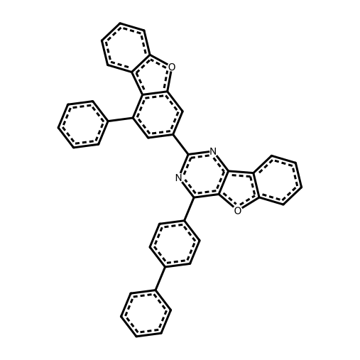 c1ccc(-c2ccc(-c3nc(-c4cc(-c5ccccc5)c5c(c4)oc4ccccc45)nc4c3oc3ccccc34)cc2)cc1